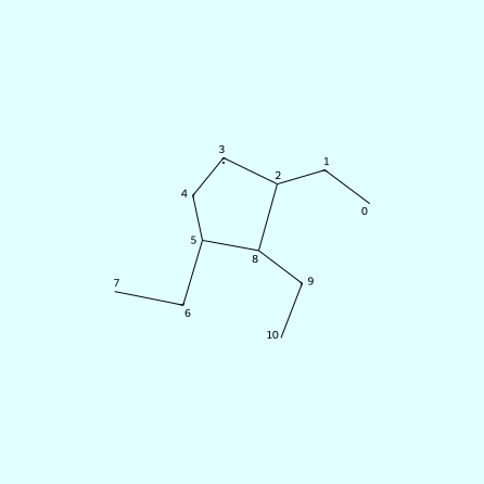 CCC1[CH]CC(CC)C1CC